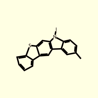 Cc1ccc2c(c1)c1cc3c(cc1n2I)sc1ccccc13